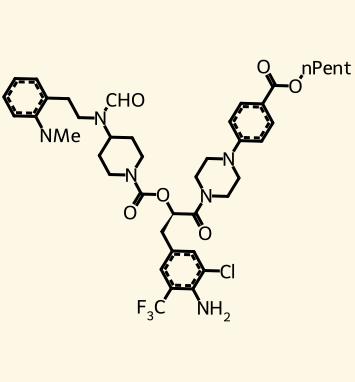 CCCCCOC(=O)c1ccc(N2CCN(C(=O)[C@@H](Cc3cc(Cl)c(N)c(C(F)(F)F)c3)OC(=O)N3CCC(N(C=O)CCc4ccccc4NC)CC3)CC2)cc1